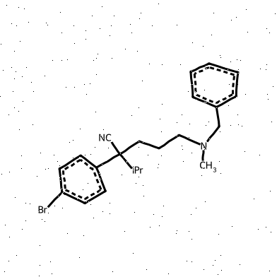 CC(C)C(C#N)(CCCN(C)Cc1ccccc1)c1ccc(Br)cc1